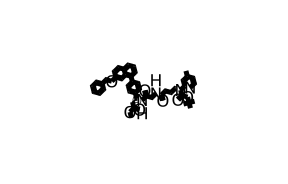 COC(=O)C[C@H](NC(=O)CNC(=O)CCCN(C(=O)OC(C)(C)C)c1cc(C)ccn1)c1ccc(-c2cccc3ccc(OCc4ccccc4)cc23)cc1